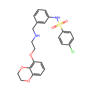 O=S(=O)(Nc1cccc(CNCCOc2cccc3c2OCCO3)c1)c1ccc(Cl)cc1